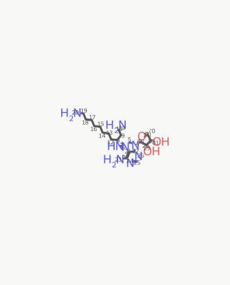 C[C@H]1O[C@@H](N2CN(NC(CCN)CCCCCCCCN)c3c(N)ncnc32)C(O)C1O